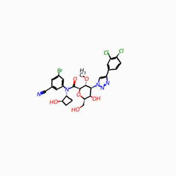 CO[C@@H]1[C@@H](n2cc(-c3ccc(Cl)c(Cl)c3)nn2)[C@@H](O)[C@@H](CO)O[C@H]1C(=O)N(c1cc(Br)cc(C#N)c1)[C@@H]1CC[C@H]1O